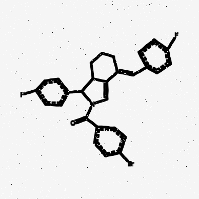 O=C(c1ccc(Br)cc1)N1C=C2/C(=C/c3ccc(F)cc3)CCCC2C1c1ccc(F)cc1